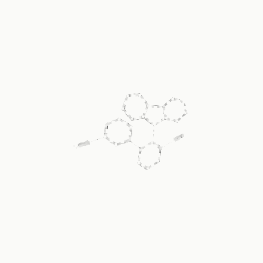 N#Cc1cccc(-c2cccc(C#N)c2-n2c3ccccc3c3ccccc32)c1